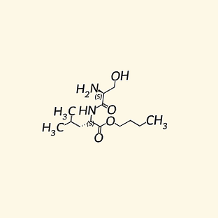 CCCCOC(=O)[C@H](CC(C)C)NC(=O)[C@@H](N)CO